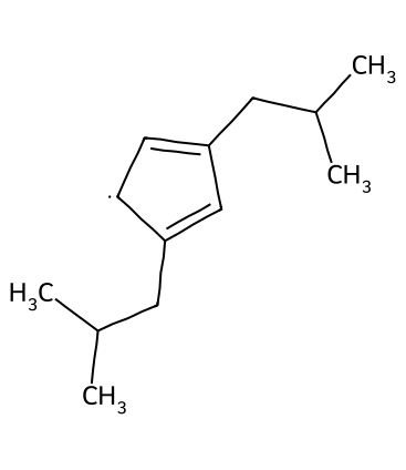 CC(C)CC1=CC(CC(C)C)=C[CH]1